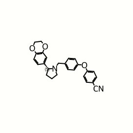 N#Cc1ccc(Oc2ccc(CN3CCC[C@H]3c3ccc4c(c3)OCCO4)cc2)cc1